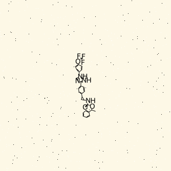 CC(OC(=O)NC1CC1c1ccc(C(=N)/N=C\Nc2ccc(OC(F)(F)F)cc2)cc1)c1ccccc1